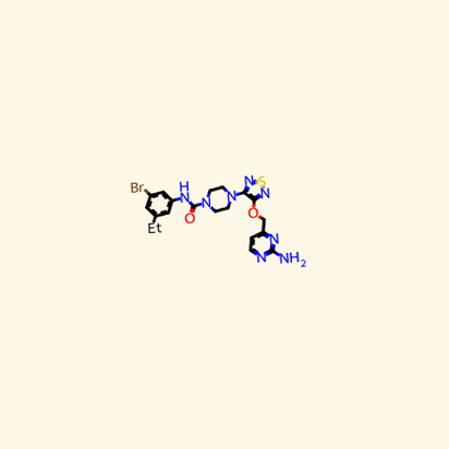 CCc1cc(Br)cc(NC(=O)N2CCN(c3nsnc3OCc3ccnc(N)n3)CC2)c1